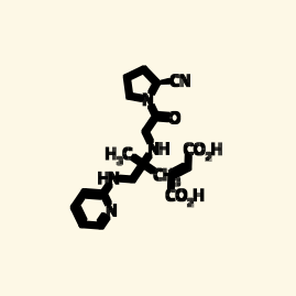 CC(C)(CNc1ccccn1)NCC(=O)N1CCC[C@H]1C#N.O=C(O)/C=C/C(=O)O